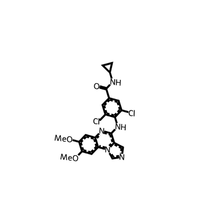 COc1cc2nc(Nc3c(Cl)cc(C(=O)NC4CC4)cc3Cl)c3cncn3c2cc1OC